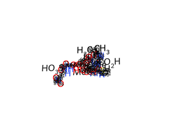 COCCN(CCOC12CC3(C)CC(C)(CC(Cn4ncc(-c5ccc(N6CCc7c(OC)ccc(C(=O)Nc8nc9ccccc9s8)c7C6)nc5C(=O)O)c4C)(C3)C1)C2)C(=O)OCc1ccc(OCCOCCNC(=O)[C@H](CS(=O)(=O)O)NC(=O)CCCCCN2C(=O)C=CC2=O)cc1O[C@@H]1C[C@H](C(=O)O)[C@@H](O)[C@H](O)[C@H]1O